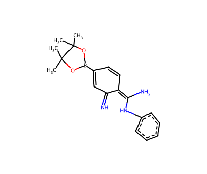 CC1(C)OB(C2=CC(=N)/C(=C(/N)Nc3ccccc3)C=C2)OC1(C)C